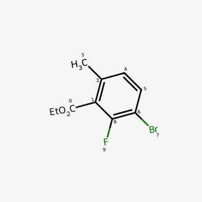 CCOC(=O)c1c(C)ccc(Br)c1F